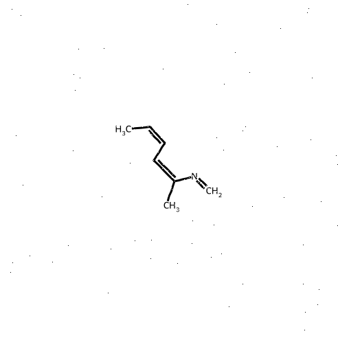 C=N/C(C)=C\C=C/C